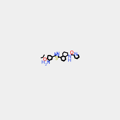 CC(C)Oc1ccc(-c2nnc(-c3cccc4c3CCC[C@H]4NC(=O)c3ccccn3)s2)cc1N